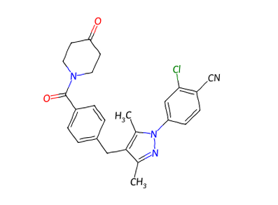 Cc1nn(-c2ccc(C#N)c(Cl)c2)c(C)c1Cc1ccc(C(=O)N2CCC(=O)CC2)cc1